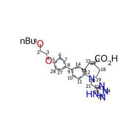 CCCCOCCOc1ccc(-c2ccc3c(c2)C=C(C(=O)O)CCN3Cc2nnn[nH]2)cc1